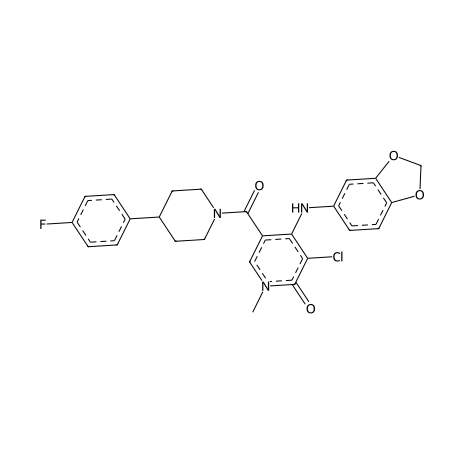 Cn1cc(C(=O)N2CCC(c3ccc(F)cc3)CC2)c(Nc2ccc3c(c2)OCO3)c(Cl)c1=O